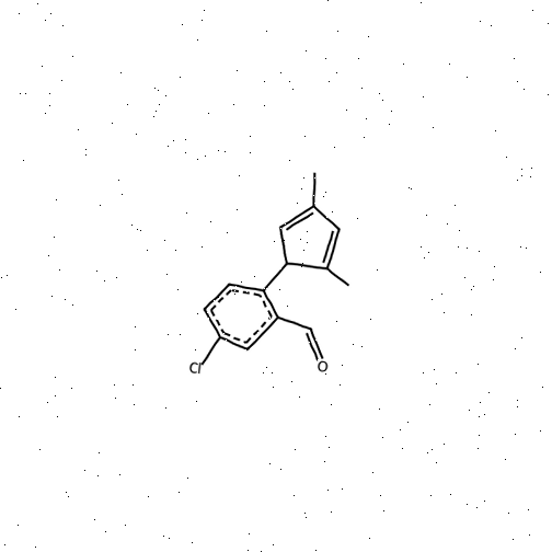 CC1=CC(c2ccc(Cl)cc2C=O)C(C)=C1